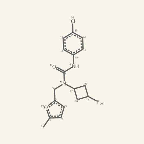 Cc1ccc(CN(C(=O)Nc2ccc(Cl)cc2)C2CC(F)C2)o1